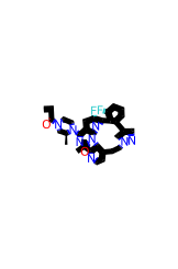 C=CC(=O)N1CCN(c2nc(=O)n3c4nc(c(F)cc24)-c2c(F)cccc2-c2cnn(c2)CCc2ccnc(C(C)C)c2-3)[C@@H](C)C1